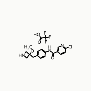 COC1(Cc2ccc(NC(=O)c3ccc(Cl)nc3)cc2)CNC1.O=C(O)C(F)(F)F